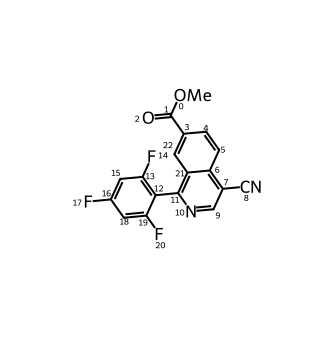 COC(=O)c1ccc2c(C#N)cnc(-c3c(F)cc(F)cc3F)c2c1